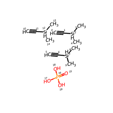 C#C[SiH](C)C.C#C[SiH](C)C.C#C[SiH](C)C.O=P(O)(O)O